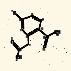 O=C(O)Cc1cc(F)ccc1C(=O)O